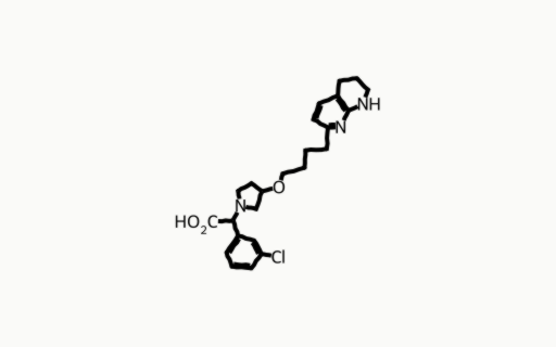 O=C(O)C(c1cccc(Cl)c1)N1CCC(OCCCCc2ccc3c(n2)NCCC3)C1